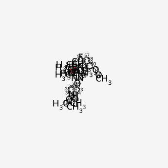 COCOc1cc(-c2nc(OC)c3c(N(C)C)nc(OC[C@]45CCC[C@H]4N(C(=O)OC(C)(C)C)CCC5)nc3c2F)c2c(C#C[Si](C(C)C)(C(C)C)C(C)C)c(F)ccc2c1